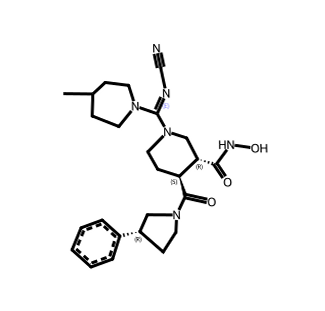 CC1CCN(/C(=N\C#N)N2CC[C@H](C(=O)N3CC[C@H](c4ccccc4)C3)[C@@H](C(=O)NO)C2)CC1